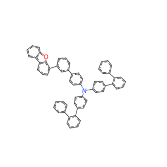 c1ccc(-c2ccccc2-c2ccc(N(c3ccc(-c4cccc(-c5cccc6c5oc5ccccc56)c4)cc3)c3ccc(-c4ccccc4-c4ccccc4)cc3)cc2)cc1